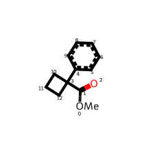 COC(=O)C1(c2cc[c]cc2)CCC1